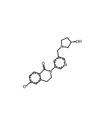 O=C1c2ccc(Cl)cc2CCN1c1cncc(CN2CC[C@@H](O)C2)c1